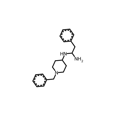 NC(Cc1ccccc1)NC1CCN(Cc2ccccc2)CC1